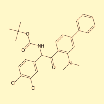 CN(C)c1cc(-c2ccccc2)ccc1C(=O)C(NC(=O)OC(C)(C)C)c1ccc(Cl)c(Cl)c1